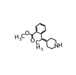 COC(=O)c1ccccc1C(C)=C1CCNCC1